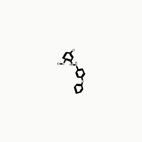 CCOc1ccc(Cl)cc1NNc1ccc(Oc2ccccc2)cc1